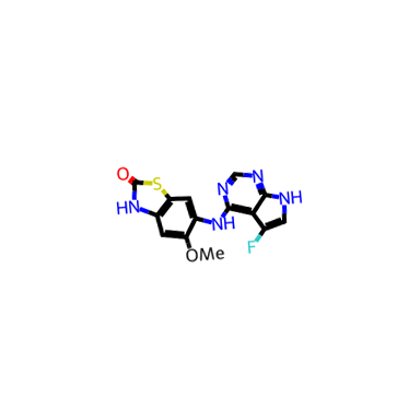 COc1cc2[nH]c(=O)sc2cc1Nc1ncnc2[nH]cc(F)c12